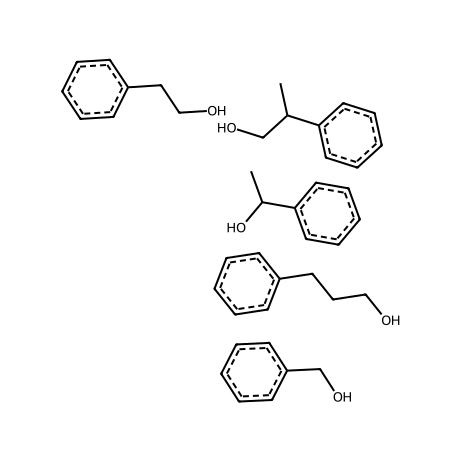 CC(CO)c1ccccc1.CC(O)c1ccccc1.OCCCc1ccccc1.OCCc1ccccc1.OCc1ccccc1